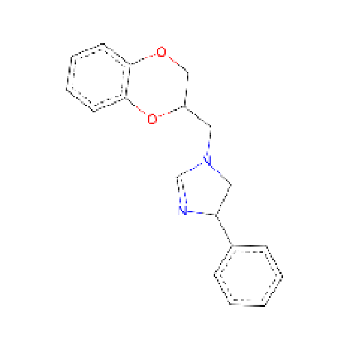 C1=NC(c2ccccc2)CN1CC1COc2ccccc2O1